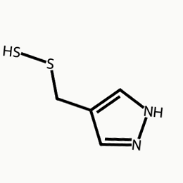 SSCc1cn[nH]c1